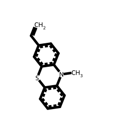 C=Cc1ccc2c(c1)Sc1ccccc1N2C